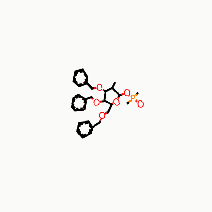 CC1C(OP(C)(C)=O)OC(COCc2ccccc2)C(OCc2ccccc2)C1OCc1ccccc1